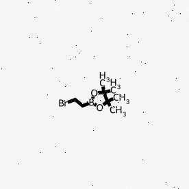 CC1(C)OB(CCBr)OC1(C)C